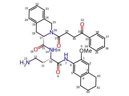 COc1cc2c(cc1NC(=O)[C@H](CCN)NC(=O)[C@@H]1Cc3ccccc3CN1C(=O)CCC(=O)c1ccccc1)CCCC2